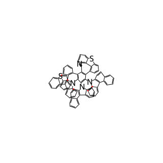 N#Cc1c(-c2cccc3sc4ccccc4c23)c(-n2c3ccccc3c3c4ccccc4ccc32)c(-n2c3ccccc3c3c4ccccc4ccc32)c(-n2c3ccccc3c3c4ccccc4ccc32)c1-c1cccc2sc3ccccc3c12